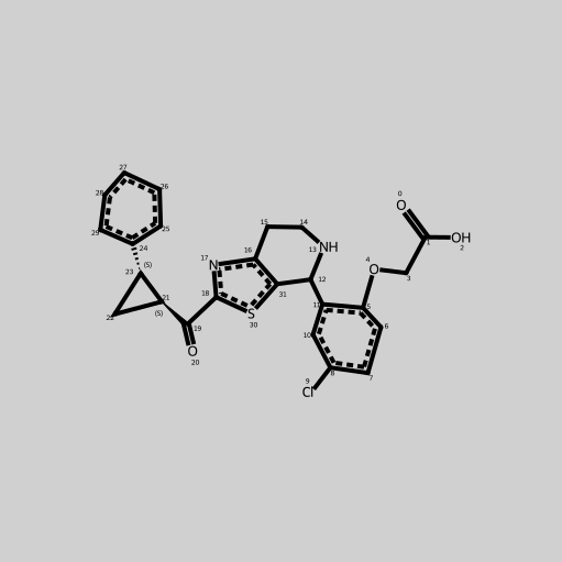 O=C(O)COc1ccc(Cl)cc1C1NCCc2nc(C(=O)[C@H]3C[C@@H]3c3ccccc3)sc21